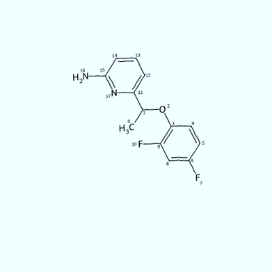 CC(Oc1ccc(F)cc1F)c1cccc(N)n1